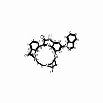 C[C@@H]1CC2CN1CCn1[nH]c3c(cccc3c1=O)-c1nc3c(cc(-n4ncc5ccccc54)cc3[nH]c1=O)O2